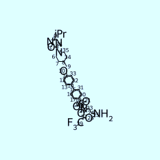 CC(C)c1noc(N2CCC(COc3ccc(-c4ccc(S(=O)(=O)N(CCN)OC(=O)C(F)(F)F)cc4)cc3)CC2)n1